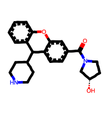 O=C(c1ccc2c(c1)Oc1ccccc1C2C1CCNCC1)N1CC[C@H](O)C1